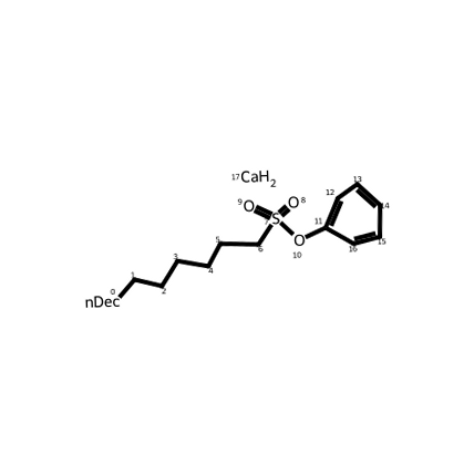 CCCCCCCCCCCCCCCCS(=O)(=O)Oc1ccccc1.[CaH2]